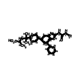 CCNC(=O)Nc1nc2cc(-c3cnc(C(C)(C)N[C@@H](C)C(=O)O)nc3)cc(-c3ccccn3)c2s1